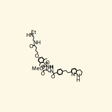 CCNCCNC(=O)CCCOc1cc(C)c(S(=O)(=O)N[C@@H](CNC(=O)c2ccc(CCc3ccc4c(n3)NCCC4)cc2)C(=O)OC)c(C)c1